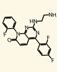 NCCNc1nc(-c2ccc(F)cc2F)c2ccc(=O)n(-c3ccccc3F)c2n1